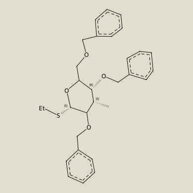 CCS[C@@H]1OC(COCc2ccccc2)[C@H](OCc2ccccc2)[C@H](C)C1OCc1ccccc1